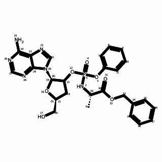 C[C@H](NP(=O)(Oc1ccccc1)OC1C[C@@H](CO)O[C@H]1n1cnc2c(N)ncnc21)C(=O)OCc1ccccc1